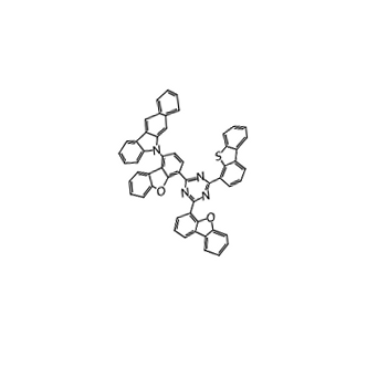 c1ccc2cc3c(cc2c1)c1ccccc1n3-c1ccc(-c2nc(-c3cccc4c3oc3ccccc34)nc(-c3cccc4c3sc3ccccc34)n2)c2oc3ccccc3c12